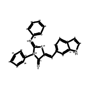 O=C1C(=Cc2ccc3cc[nH]c3c2)SC(=Nc2ccccc2)N1c1ccccc1